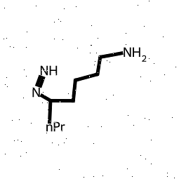 CCCC(CCCCN)N=N